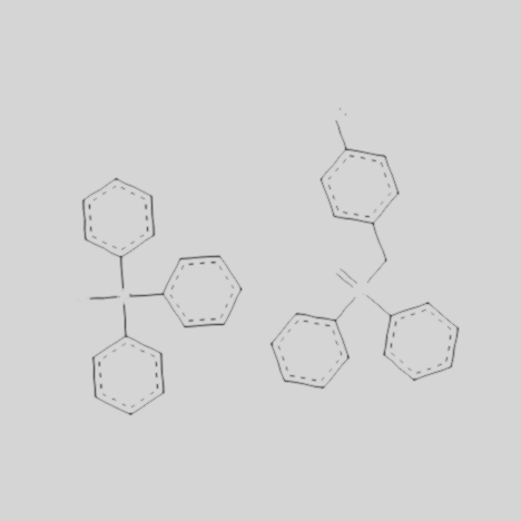 CCCC[B-](c1ccccc1)(c1ccccc1)c1ccccc1.N#Cc1ccc(C[S+](=O)(c2ccccc2)c2ccccc2)cc1